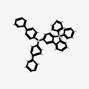 c1ccc(-c2ccc(N(c3ccc(-c4ccccc4)cc3)c3ccc4c(c3)-c3ccccc3S4(c3ccccc3)c3ccccc3)cc2)cc1